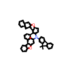 CC1(C)c2ccccc2-c2ccc(N(c3ccc4c(c3)oc3ccccc34)c3ccc4oc5cc6ccccc6cc5c4c3-c3ccccc3)cc21